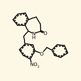 O=C1CCc2ccccc2C(Cc2ccc([N+](=O)[O-])c(OCc3ccccc3)c2)N1